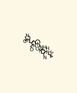 CSC1(CNc2cc(NC(=O)N3CCCc4cc(CN5CCN(C)CC5=O)c(C=O)nc43)ncc2C#N)CC1